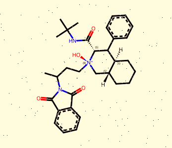 CC(CC[N@@+]1(O)C[C@H]2CCCC[C@@H]2C(c2ccccc2)[C@H]1C(=O)NC(C)(C)C)N1C(=O)c2ccccc2C1=O